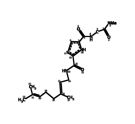 CNC(=O)CNC(=O)c1cnc(C(=O)NC/C=C(\C)CCC=C(C)C)[nH]1